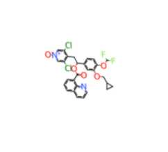 O=C(OC(Cc1c(Cl)c[n+]([O-])cc1Cl)c1ccc(OC(F)F)c(OCC2CC2)c1)c1cccc2cccnc12